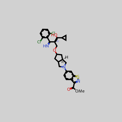 COC(=O)c1nsc2cc(N3CC4CC(OC/C(C(=N)c5c(Cl)cccc5Cl)=C(/O)C5CC5)C[C@H]4C3)ccc12